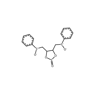 O=S1OC(C[S+]([O-])c2ccccc2)C(C[S+]([O-])c2ccccc2)O1